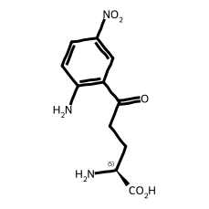 Nc1ccc([N+](=O)[O-])cc1C(=O)CC[C@H](N)C(=O)O